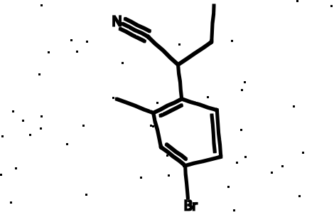 CCC(C#N)c1ccc(Br)cc1C